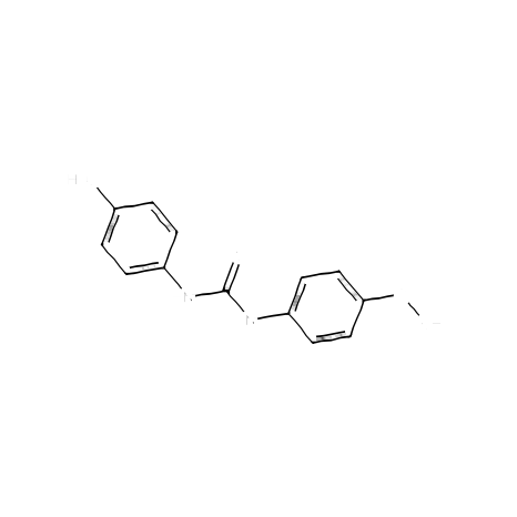 COc1ccc(NC(=S)Nc2ccc(C)cc2)cc1